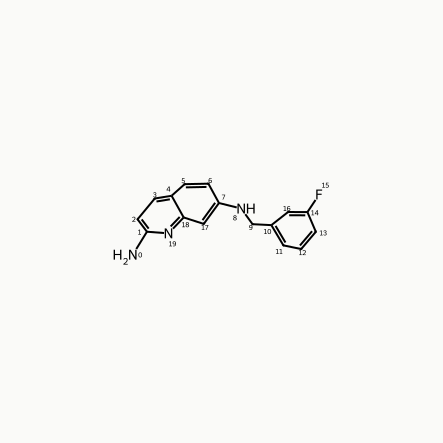 Nc1ccc2ccc(NCc3cccc(F)c3)cc2n1